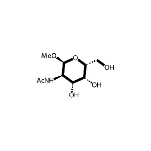 CO[C@H]1O[C@H](CO)[C@H](O)[C@H](O)[C@H]1NC(C)=O